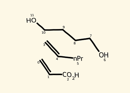 C=CC(=O)O.C=CCCC.OCCCCO